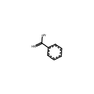 CCCC(=N)c1cc[c]cc1